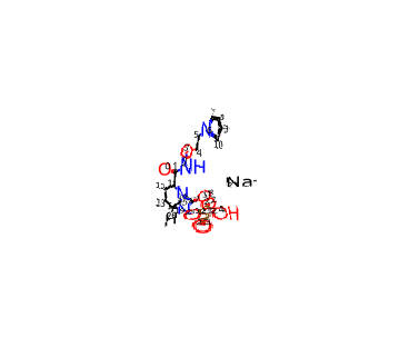 O=C(NOCCn1cccc1)[C@@H]1CC[C@@H]2CN1C(=O)N2OS(=O)(=O)O.[Na]